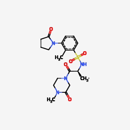 [CH2][C@H](NS(=O)(=O)c1cccc(N2CCCC2=O)c1C)C(=O)N1CCN(C)C(=O)C1